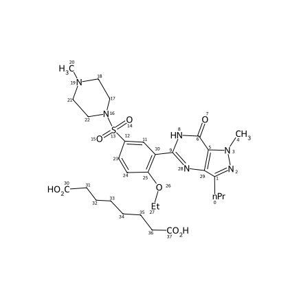 CCCc1nn(C)c2c(=O)[nH]c(-c3cc(S(=O)(=O)N4CCN(C)CC4)ccc3OCC)nc12.O=C(O)CCCCCCC(=O)O